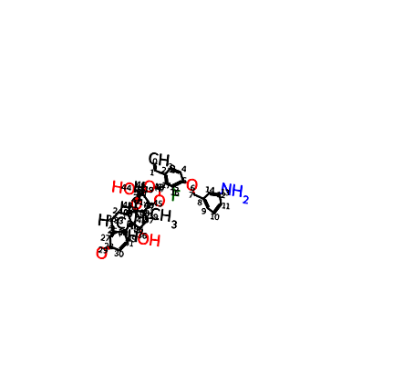 C=Cc1ccc(OCc2cccc(N)c2)c(F)c1[C@H]1O[C@@H]2C[C@H]3[C@@H]4CCC5=CC(=O)C=C[C@]5(C)[C@H]4[C@@H](O)C[C@]3(C)[C@]2(C(=O)CO)O1